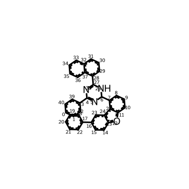 c1ccc(C2=NC(c3cccc4oc5ccc(-c6ccccc6)cc5c34)NC(c3cccc4ccccc34)=N2)cc1